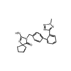 CCCCC1=NC2(CCCC2)C(=O)N1Cc1ccc(-c2ccccc2-c2nnn(C)n2)cc1